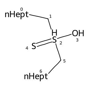 CCCCCCCC[SH](O)(=S)CCCCCCCC